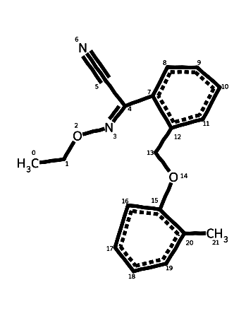 CCON=C(C#N)c1ccccc1COc1ccccc1C